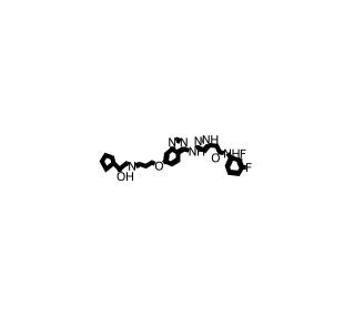 O=C(Cc1cc(Nc2ncnc3cc(OCCC=NCC(O)C4CCCC4)ccc23)n[nH]1)Nc1cccc(F)c1F